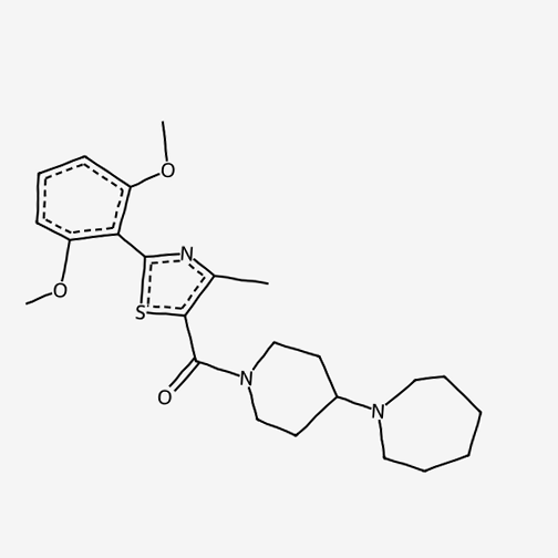 COc1cccc(OC)c1-c1nc(C)c(C(=O)N2CCC(N3CCCCCC3)CC2)s1